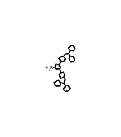 Bc1cc(-c2ccc(C=C(c3ccccc3)c3ccccc3)cc2)cc(-c2ccc(C=C(c3ccccc3)c3ccccc3)cc2)c1